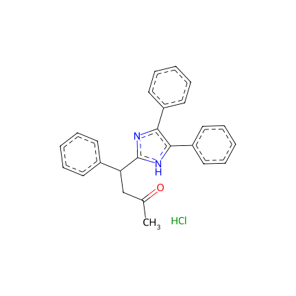 CC(=O)CC(c1ccccc1)c1nc(-c2ccccc2)c(-c2ccccc2)[nH]1.Cl